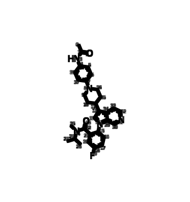 CC(=O)Nc1ccc(N2CCC(c3cn(-c4ccc(F)cc4C(=O)N(C)C(C)C)c4cnccc34)CC2)cc1